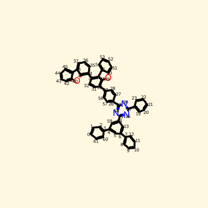 c1ccc(-c2cc(-c3ccccc3)cc(-c3nc(-c4ccccc4)nc(-c4ccc(-c5ccc(-c6cccc7c6oc6ccccc67)c6c5oc5ccccc56)cc4)n3)c2)cc1